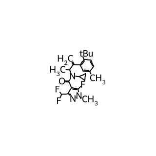 C=C(c1cc(C)ccc1C(C)(C)C)C(C)N(C(=O)c1c(C(F)F)nn(C)c1F)C1CC1